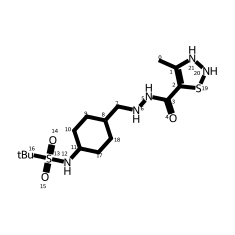 CC1=C(C(=O)NNCC2CCC(NS(=O)(=O)C(C)(C)C)CC2)SNN1